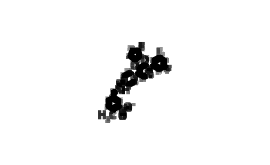 Cc1ccc(CNSN2CCN(c3cnn(-c4cc(F)cc(F)c4)c(=O)c3OC3CCC(F)C3)CC2)cc1[N+](=O)[O-]